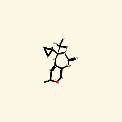 C/C=C1/NC(=O)O[C@@](C(C)(F)F)(C2(C)CC2)C/C1=C/C(C)Cl